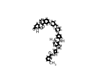 Cc1cccc(C(=O)NC2CC(n3cnc4c(Nc5ccc(N6CCN(CC7CCN(c8ccc9nnn([C@H]%10CCC(=O)NC%10=O)c(=O)c9c8)CC7)CC6)cc5C)ncnc43)C2)n1